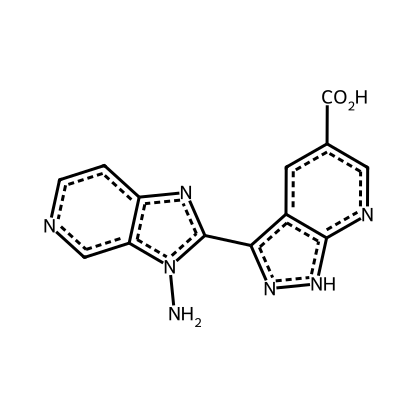 Nn1c(-c2n[nH]c3ncc(C(=O)O)cc23)nc2ccncc21